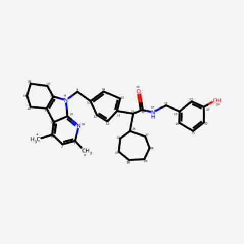 Cc1cc(C)c2c3c(n(Cc4ccc(C(C(=O)NCc5cccc(O)c5)C5CCCCCC5)cc4)c2n1)CCCC3